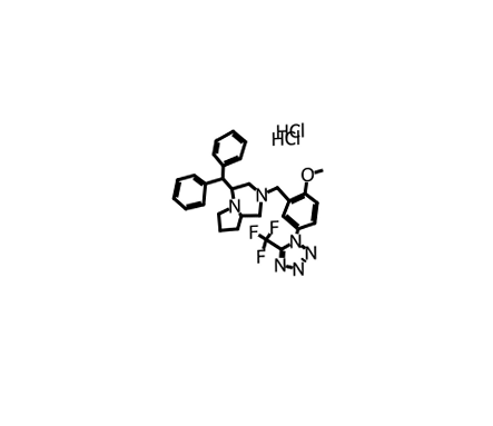 COc1ccc(-n2nnnc2C(F)(F)F)cc1CN1CC2CCCN2C(C(c2ccccc2)c2ccccc2)C1.Cl.Cl